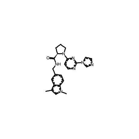 Cc1cn(C)c2ccc(CNC(=O)[C@H]3CCCN3c3ccnc(-n4ccnc4)n3)cc12